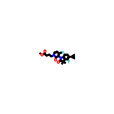 COC(=O)CCCn1ccc(C)c(N2C(=O)C(C)(C)c3c(F)c(C4CC4)cc(F)c32)c1=O